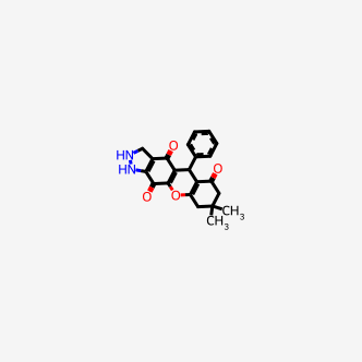 CC1(C)CC(=O)C2=C(C1)OC1=C(C(=O)C3=C(NNC3)C1=O)C2c1ccccc1